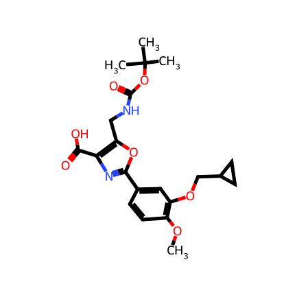 COc1ccc(-c2nc(C(=O)O)c(CNC(=O)OC(C)(C)C)o2)cc1OCC1CC1